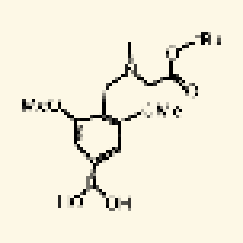 COc1cc(B(O)O)cc(OC)c1CN(C)CC(=O)OC(C)(C)C